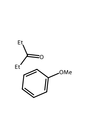 CCC(=O)CC.COc1ccccc1